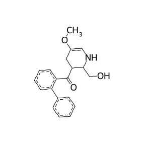 COC1=CNC(CO)C(C(=O)c2ccccc2-c2ccccc2)C1